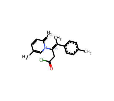 C=C1C=CC(C)=CN1/C(CC(=O)Cl)=C(\C)c1ccc(C)cc1